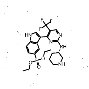 CCOP(=O)(OCC)c1ccc2[nH]cc(-c3nc(N[C@H]4CCCNC4)ncc3C(F)(F)F)c2c1